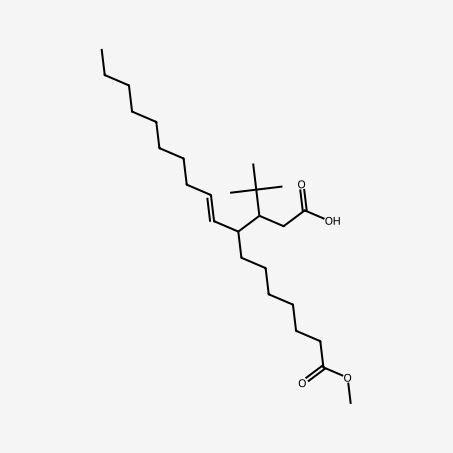 CCCCCCCC/C=C/C(CCCCCCC(=O)OC)C(CC(=O)O)C(C)(C)C